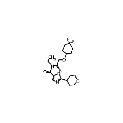 CCn1c(COC2CCC(F)(F)CC2)nn2c(C3CCOCC3)ncc2c1=O